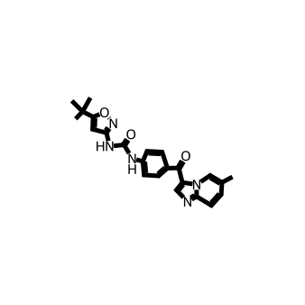 Cc1ccc2ncc(C(=O)c3ccc(NC(=O)Nc4cc(C(C)(C)C)on4)cc3)n2c1